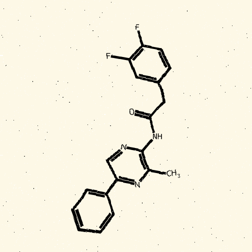 Cc1nc(-c2ccccc2)cnc1NC(=O)Cc1ccc(F)c(F)c1